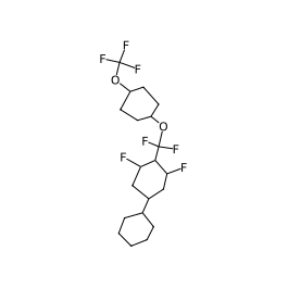 FC1CC(C2CCCCC2)CC(F)C1C(F)(F)OC1CCC(OC(F)(F)F)CC1